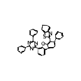 c1ccc(-c2nc(-c3ccccc3)nc(-c3cccc4c3oc3c(-c5nc6ccccc6s5)c(-c5ccccc5)ccc34)n2)cc1